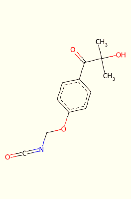 CC(C)(O)C(=O)c1ccc(OCN=C=O)cc1